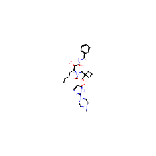 CCCC[C@@H](C(=O)C(=O)N[C@H](C)c1ccccc1)N(CC1(COc2ccnc(N3CCN(C)CC3)n2)CCC1)C(=O)O